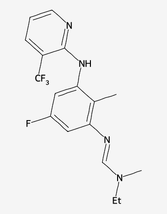 CCN(C)/C=N/c1cc(F)cc(Nc2ncccc2C(F)(F)F)c1C